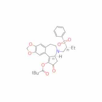 CC[C@H](CN1CCc2cc3c(cc2C2=C(OC(=O)C(C)(C)C)C(=O)C[C@@H]21)OCO3)S(=O)(=O)c1ccccc1